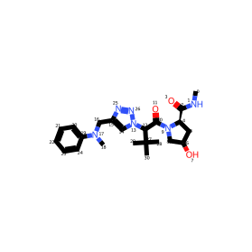 CNC(=O)[C@H]1CC(O)CN1C(=O)C(n1cc(CN(C)c2ccccc2)nn1)C(C)(C)C